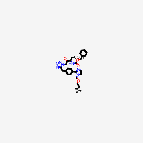 C[Si](C)(C)CCOCn1ccnc1-c1ccc(Cc2nnnn2CC(=O)C(CC(=O)O)NC(=O)OCc2ccccc2)cc1